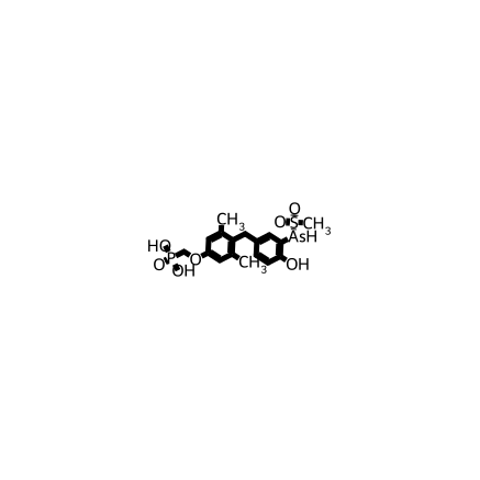 Cc1cc(OCP(=O)(O)O)cc(C)c1Cc1ccc(O)c([AsH]S(C)(=O)=O)c1